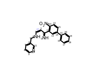 N=C(/C=C\NCc1cccnc1)c1cc(-c2ccccc2)ccc1[N+](=O)[O-]